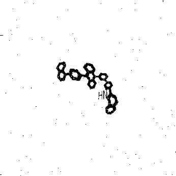 c1cc(-c2ccc3c(c2)[nH]c2c4ccccc4ccc32)cc(-c2c3ccccc3c(-c3ccc(-c4cccc5ccccc45)cc3)c3ccccc23)c1